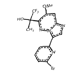 COc1cc2ncc(-c3cccc(Br)n3)n2nc1C(C)(O)C(F)(F)F